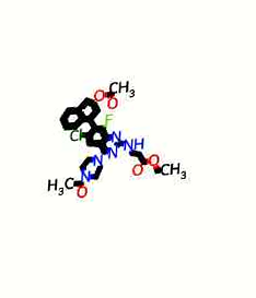 CCOC(=O)CCNc1nc(N2CCN(C(C)=O)CC2)c2cc(Cl)c(-c3cc(OC(C)=O)cc4ccccc34)c(F)c2n1